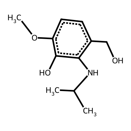 COc1ccc(CO)c(NC(C)C)c1O